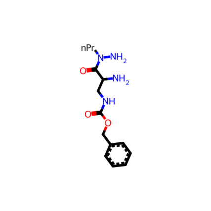 CCCN(N)C(=O)C(N)CNC(=O)OCc1ccccc1